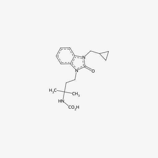 CC(C)(CCn1c(=O)n(CC2CC2)c2ccccc21)NC(=O)O